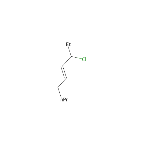 CCCCC=CC(Cl)CC